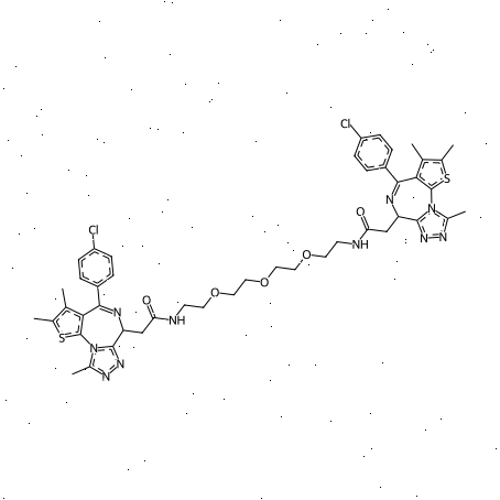 Cc1sc2c(c1C)C(c1ccc(Cl)cc1)=NC(CC(=O)NCCOCCOCCOCCNC(=O)CC1N=C(c3ccc(Cl)cc3)c3c(sc(C)c3C)-n3c(C)nnc31)c1nnc(C)n1-2